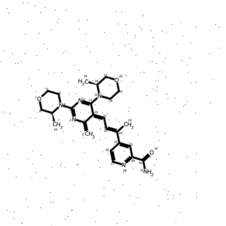 C=c1nc(N2CCOC[C@@H]2C)nc(N2CCOC[C@@H]2C)/c1=C/C=C(\C)c1ccnc(C(N)=O)c1